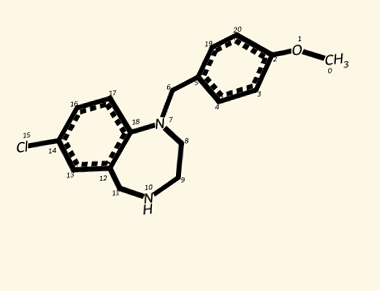 COc1ccc(CN2CCNCc3cc(Cl)ccc32)cc1